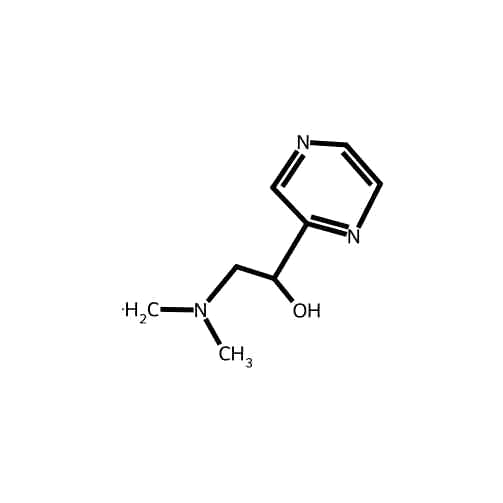 [CH2]N(C)CC(O)c1cnccn1